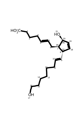 O=C(O)CCCC=CC[C@@H]1[C@@H](C=CCCCCCCO)C=C[C@@H]1O